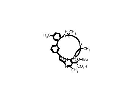 Cc1ccc2c(c1)-c1cccc(c1)-c1cc3nc(C)c([C@H](OC(C)(C)C)C(=O)O)c(n3n1)N1CCC(C)(CC1)OCCC[C@@H](C)O2